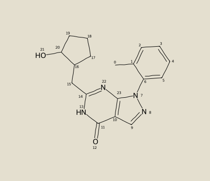 Cc1ccccc1-n1ncc2c(=O)[nH]c(CC3CCCC3O)nc21